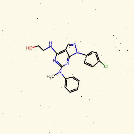 CN(c1ccccc1)c1nc(NCCO)c2cnn(-c3ccc(Cl)cc3)c2n1